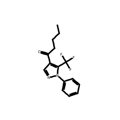 CCCCC(=O)c1cnn(-c2ccccc2)c1C(F)(F)F